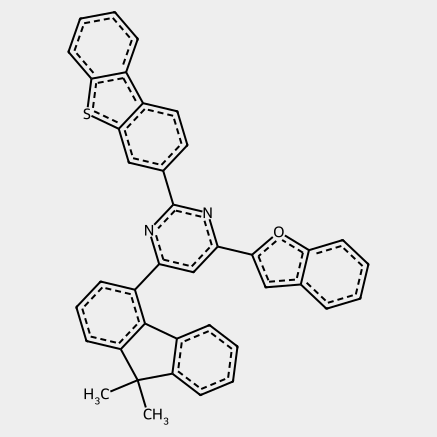 CC1(C)c2ccccc2-c2c(-c3cc(-c4cc5ccccc5o4)nc(-c4ccc5c(c4)sc4ccccc45)n3)cccc21